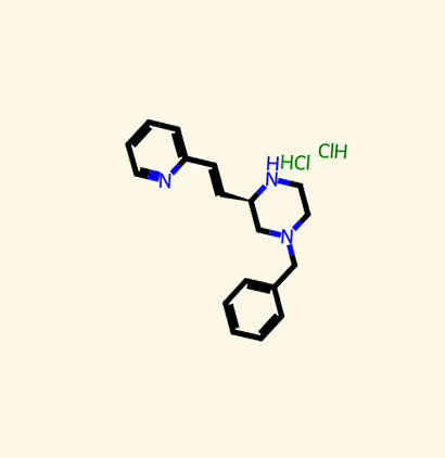 C(=C\[C@@H]1CN(Cc2ccccc2)CCN1)/c1ccccn1.Cl.Cl